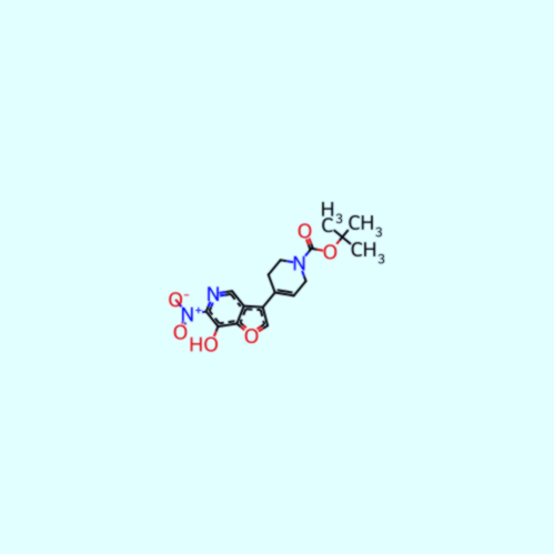 CC(C)(C)OC(=O)N1CC=C(c2coc3c(O)c([N+](=O)[O-])ncc23)CC1